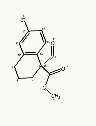 COC(=O)[C@@]1(C=O)CCCc2cc(Cl)ccc21